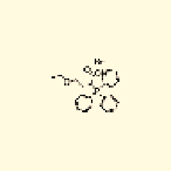 CCOCCC(C(=O)O)[P+](c1ccccc1)(c1ccccc1)c1ccccc1.[Br-]